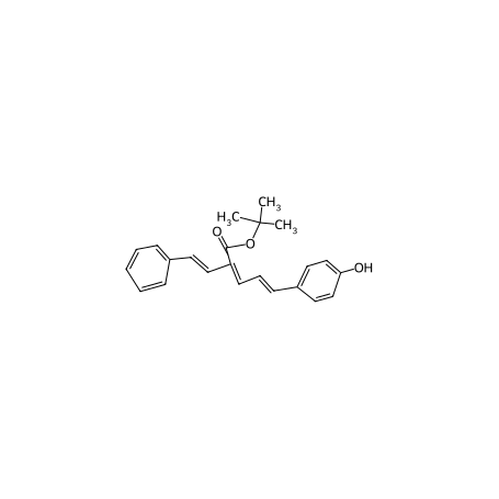 CC(C)(C)OC(=O)C(C=Cc1ccccc1)=CC=Cc1ccc(O)cc1